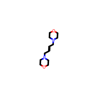 C(=C\CN1CCOCC1)/CN1CCOCC1